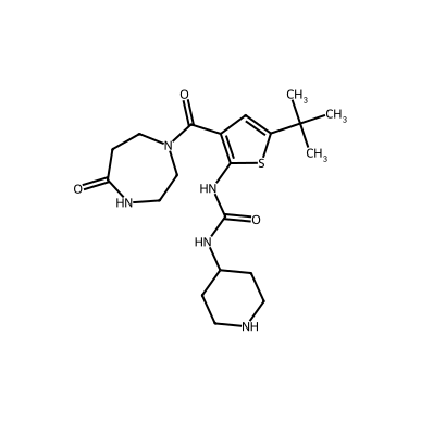 CC(C)(C)c1cc(C(=O)N2CCNC(=O)CC2)c(NC(=O)NC2CCNCC2)s1